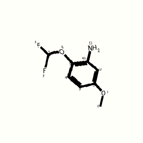 COc1ccc(OC(F)F)c(N)c1